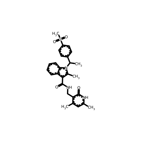 Cc1cc(C)c(CNC(=O)c2c(C)n(C(C)c3ccc(S(C)(=O)=O)cc3)c3ccccc23)c(=O)[nH]1